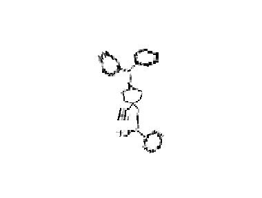 OC(CC1(O)CCN(C(c2ccccc2)c2ccccc2)CC1)c1ccccc1